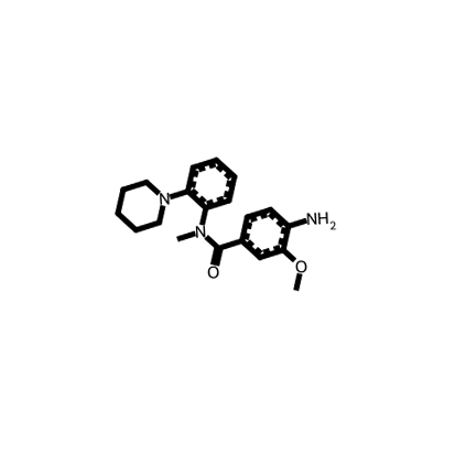 COc1cc(C(=O)N(C)c2ccccc2N2CCCCC2)ccc1N